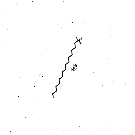 CCCCCCCCCCCCCCCC[N+](C)(C)C.[Br-].[K][Br]